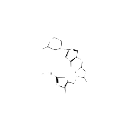 CC(=O)Nc1nc(F)c(CN2CC(Oc3cnc(N4CCOC(C)C4)cc3C)CC2C)s1